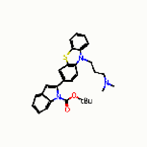 CN(C)CCCN1c2ccccc2Sc2cc(-c3cc4ccccc4n3C(=O)OC(C)(C)C)ccc21